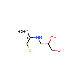 O=[C][C@H](CS)NCC(O)CO